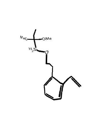 C=Cc1ccccc1CCO[SiH2]C(C)(OC)OC